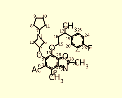 CC(=O)c1c(OC2CN(C3CCCC3)C2)c(OCCC(C)c2ccc(F)cc2)c2oc(C)nc2c1C